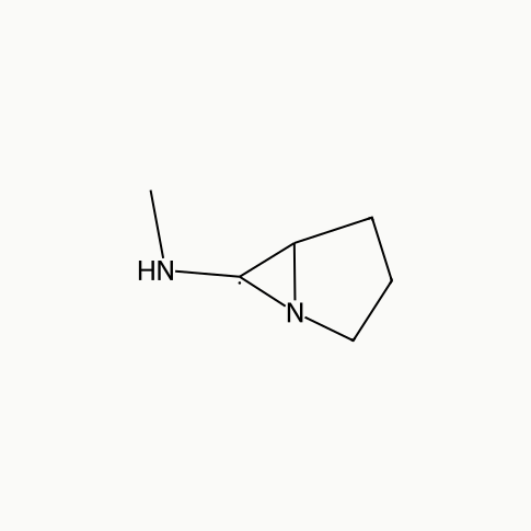 CN[C]1C2CCCN12